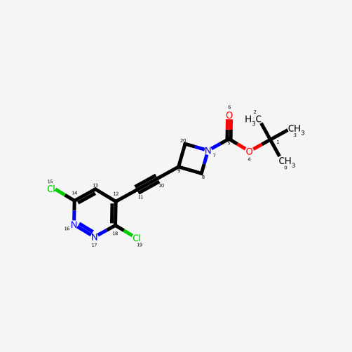 CC(C)(C)OC(=O)N1CC(C#Cc2cc(Cl)nnc2Cl)C1